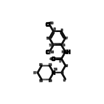 CC(CC(=O)Nc1ccc(Cl)cc1Cl)N1CCCCC1